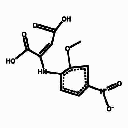 COc1cc([N+](=O)[O-])ccc1NC(=CC(=O)O)C(=O)O